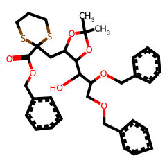 CC1(C)OC(CC2(C(=O)OCc3ccccc3)SCCCS2)C(C(O)C(COCc2ccccc2)OCc2ccccc2)O1